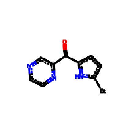 CCc1ccc(C(=O)c2cnccn2)[nH]1